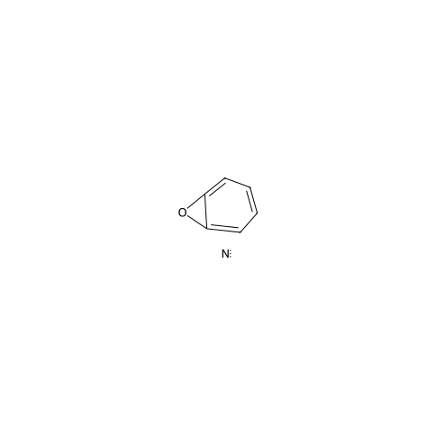 [N].c1ccc2c(c1)O2